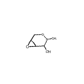 OC1C2OC2CON1O